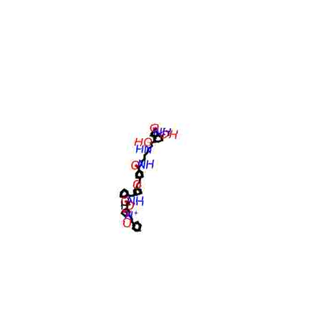 O=C(NC(c1ccccc1)c1cccc(OCc2ccc(C(=O)NCCCCNC[C@H](O)c3ccc(O)c4[nH]c(=O)ccc34)cc2)c1)O[C@H]1C[N+]2(CC(=O)c3ccccc3)CCC1CC2